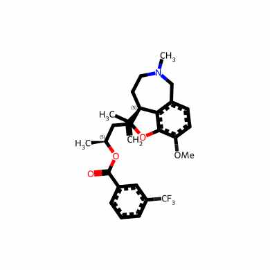 C=C(C)[C@@]12CCN(C)Cc3ccc(OC)c(c31)OC2C[C@H](C)OC(=O)c1cccc(C(F)(F)F)c1